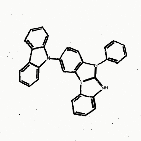 c1ccc(N2c3ccc(-n4c5ccccc5c5ccccc54)cc3N3c4ccccc4NC23)cc1